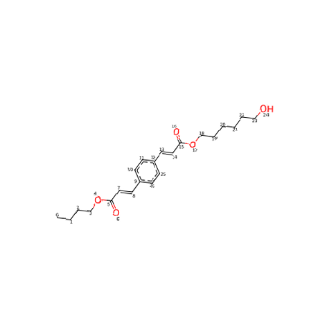 CCCCOC(=O)/C=C/c1ccc(/C=C/C(=O)OCCCCCCO)cc1